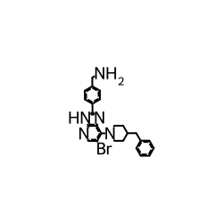 NCc1ccc(-c2nc3c(N4CCC(Cc5ccccc5)CC4)c(Br)cnc3[nH]2)cc1